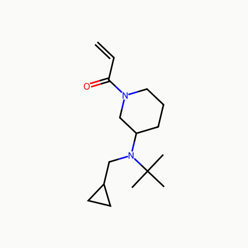 C=CC(=O)N1CCCC(N(CC2CC2)C(C)(C)C)C1